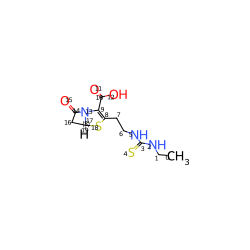 CCNC(=S)NCCC1=C(C(=O)O)N2C(=O)C[C@@H]2S1